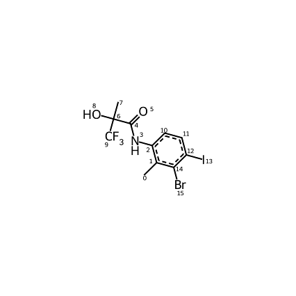 Cc1c(NC(=O)C(C)(O)C(F)(F)F)ccc(I)c1Br